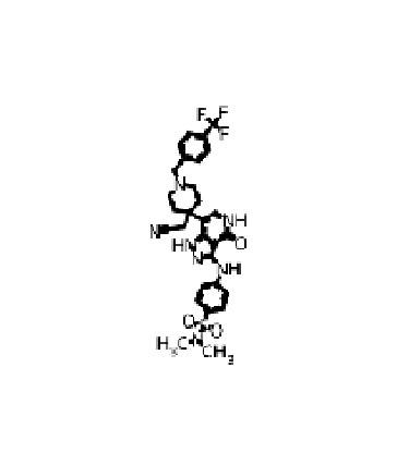 CN(C)S(=O)(=O)c1ccc(Nc2n[nH]c3c(C4(CC#N)CCN(Cc5ccc(C(F)(F)F)cc5)CC4)c[nH]c(=O)c23)cc1